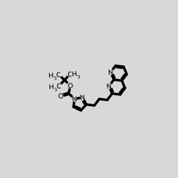 CC(C)(C)OC(=O)n1ccc(CCCc2ccc3cccnc3n2)n1